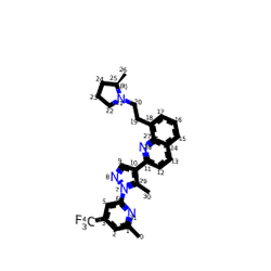 Cc1cc(C(F)(F)F)cc(-n2ncc(-c3ccc4cccc(CCN5CCC[C@H]5C)c4n3)c2C)n1